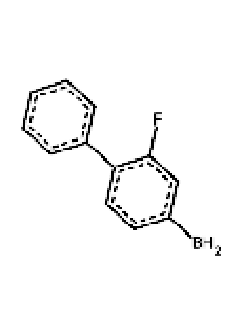 Bc1ccc(-c2ccccc2)c(F)c1